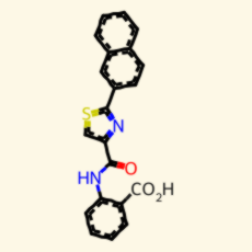 O=C(Nc1ccccc1C(=O)O)c1csc(-c2ccc3ccccc3c2)n1